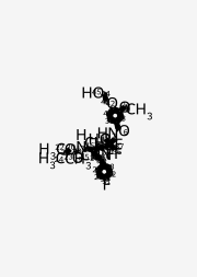 COc1cc(C(=O)NCC(O)(c2cc(C(C)(C)NC(=O)OC(C)(C)C)cc(-c3ccc(F)cc3)n2)C(F)(F)F)ccc1OCCO